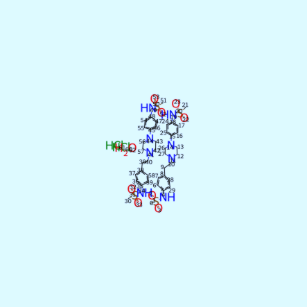 CS(=O)(=O)Nc1ccc(CCN2CCN(c3ccc(NS(C)(=O)=O)cc3)CC2)cc1.CS(=O)(=O)Nc1ccc(CCN2CCN(c3ccc(NS(C)(=O)=O)cc3)CC2)cc1.Cl.Cl.O